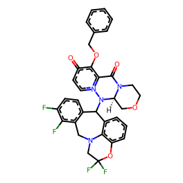 O=C1c2c(OCc3ccccc3)c(=O)ccn2N(C2c3ccc(F)c(F)c3CN3CC(F)(F)Oc4cccc2c43)[C@@H]2COCCN12